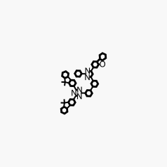 CC1(C)c2ccccc2-c2ccc(-c3nc(-c4cccc(-c5cccc(-c6cc(-c7ccc8c(c7)oc7ccccc78)nc(-c7ccccc7)n6)c5)c4)nc(-c4ccc5c(c4)C(C)(C)c4ccccc4-5)n3)cc21